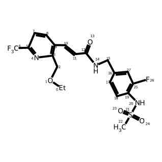 CCOCc1nc(C(F)(F)F)ccc1/C=C/C(=O)NCc1ccc(NS(C)(=O)=O)c(F)c1